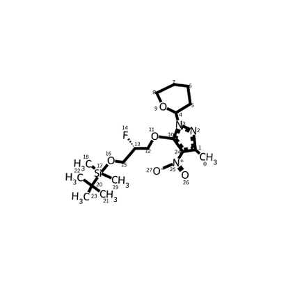 Cc1nn(C2CCCCO2)c(OC[C@@H](F)CO[Si](C)(C)C(C)(C)C)c1[N+](=O)[O-]